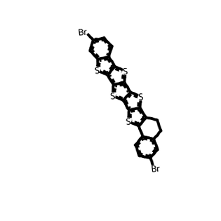 Brc1ccc2c(c1)CCc1c-2sc2c1sc1c2sc2c3sc4cc(Br)ccc4c3sc12